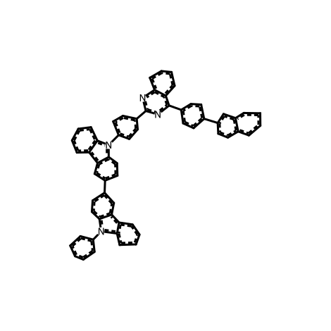 c1ccc(-n2c3ccccc3c3cc(-c4ccc5c(c4)c4ccccc4n5-c4ccc(-c5nc(-c6ccc(-c7ccc8ccccc8c7)cc6)c6ccccc6n5)cc4)ccc32)cc1